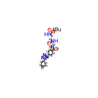 CC(C)(C)OC(=O)NCCNC(=O)Cn1sc2cc(-n3cc(-c4ccc(F)cc4)nn3)ccc2c1=O